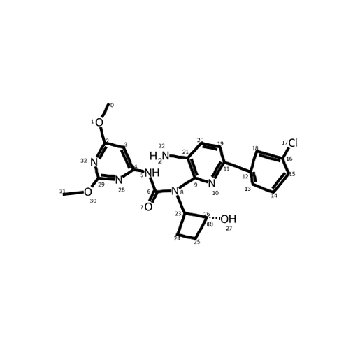 COc1cc(NC(=O)N(c2nc(-c3cccc(Cl)c3)ccc2N)C2CC[C@H]2O)nc(OC)n1